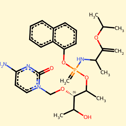 C=C(OC(C)C)C(C)NP(=C)(Oc1cccc2ccccc12)OC(C)[C@@H](OCn1ccc(N)nc1=O)C(C)O